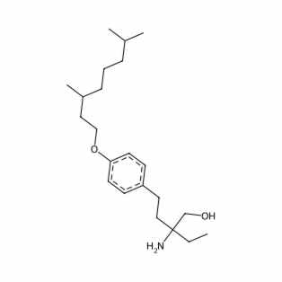 CCC(N)(CO)CCc1ccc(OCCC(C)CCCC(C)C)cc1